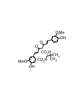 CC(C)(CC(=O)O)C(=O)O.COc1cc(C=CC(=O)CC(=O)C=Cc2ccc(O)c(OC)c2)ccc1O